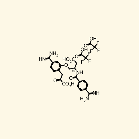 N=C(N)c1ccc(C(=O)N[C@@H](COc2cc(C(=N)N)ccc2CC(=O)C(=O)O)CC(=O)O)cc1.O=C(O)C(F)(F)F.O=C(O)C(F)(F)F